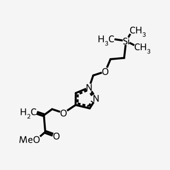 C=C(COc1cnn(COCC[Si](C)(C)C)c1)C(=O)OC